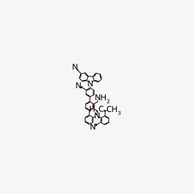 C=C(C)c1cccc(C#N)c1N(C/C=C\CN)c1ccccc1-c1ccc(-c2ccc(-n3c4ccccc4c4cc(C#N)ccc43)c(C#N)c2)cc1